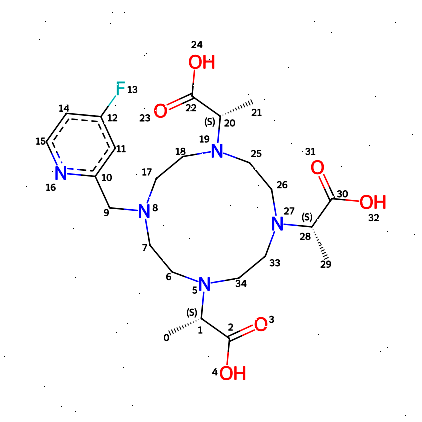 C[C@@H](C(=O)O)N1CCN(Cc2cc(F)ccn2)CCN([C@@H](C)C(=O)O)CCN([C@@H](C)C(=O)O)CC1